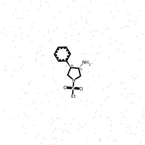 CCS(=O)(=O)N1C[C@@H](N)[C@H](c2ccccc2)C1